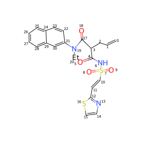 C=CCC(C(=O)NS(=O)(=O)C=Cc1nccs1)C(=O)N(CC)c1ccc2ccccc2c1